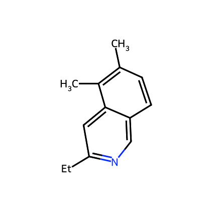 CCc1cc2c(C)c(C)ccc2cn1